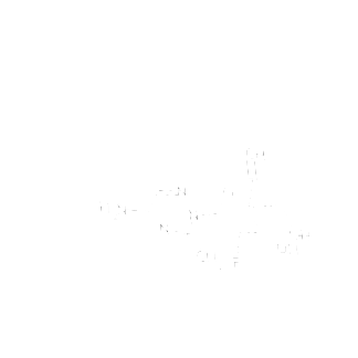 C#CC1(CO)OC(N2N=CC(N)=NC2=C)C(F)C1O